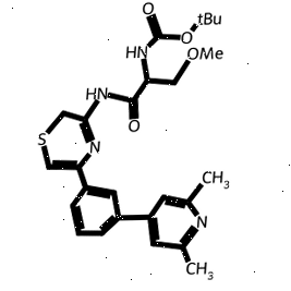 COCC(NC(=O)OC(C)(C)C)C(=O)NC1=NC(c2cccc(-c3cc(C)nc(C)c3)c2)=CSC1